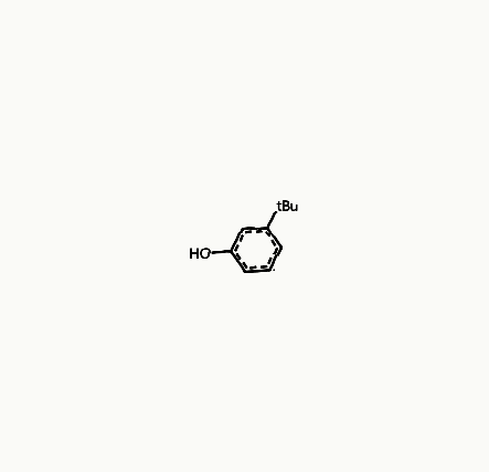 CC(C)(C)c1c[c]cc(O)c1